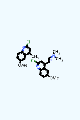 COc1ccc2nc(Cl)cc(/C=C/N(C)C)c2c1.COc1ccc2nc(Cl)cc(C)c2c1